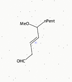 CCCCCC(/C=C/CC=O)OC